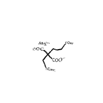 CCCCCCCCCCCCC(CCCCCCCCCCC)(C(=O)[O-])C(=O)[O-].[Mg+2]